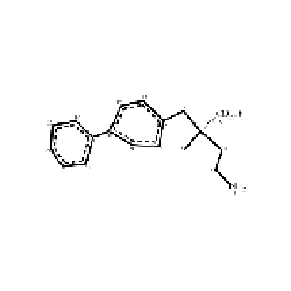 CCOC(=O)[C@@](C)(CCN)Cc1ccc(-c2ccccc2)cc1